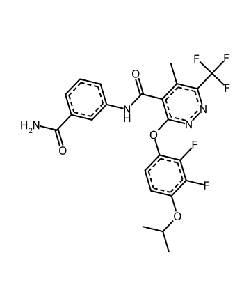 Cc1c(C(F)(F)F)nnc(Oc2ccc(OC(C)C)c(F)c2F)c1C(=O)Nc1cccc(C(N)=O)c1